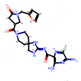 Nc1nc(N)c(C(=O)/N=C2\NCC3(CCN(C(=O)C4CC(=O)N(Cc5ccco5)C4)CC3)N2)nc1Cl